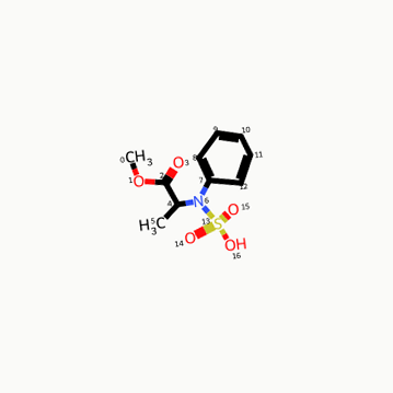 COC(=O)C(C)N(c1ccccc1)S(=O)(=O)O